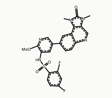 COc1ncc(-c2ccc3ncc4c(c3c2)n(C)c(=O)n4C)cc1NS(=O)(=O)c1ccc(F)cc1F